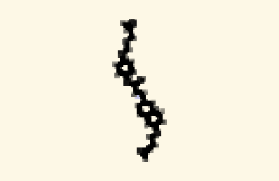 O=C(/C=C/c1ccc2cc(OCCC3CO3)ccc2c1)Oc1ccc(OCOCC2CO2)cc1